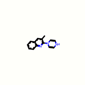 Cc1cc2ccccc2nc1N1C=CNC=C1